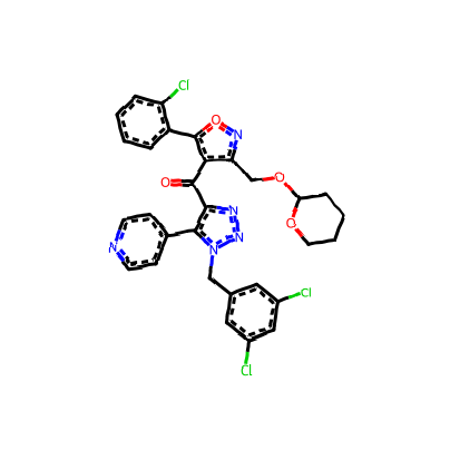 O=C(c1nnn(Cc2cc(Cl)cc(Cl)c2)c1-c1ccncc1)c1c(COC2CCCCO2)noc1-c1ccccc1Cl